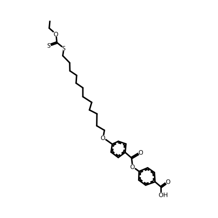 CCOC(=S)SCCCCCCCCCCCCOc1ccc(C(=O)Oc2ccc(C(=O)O)cc2)cc1